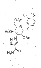 CC(=O)OCC1O[C@H](Sc2ccc(Cl)c(Cl)c2)C(OC(C)=O)C(n2cc(C(N)=O)nn2)[C@H]1OC(C)=O